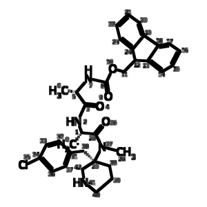 [CH2][C@H](NC(=O)[C@H](C)NC(=O)OCC1c2ccccc2-c2ccccc21)C(=O)N(C)[C@@]1(Cc2ccc(Cl)cc2)CCCNC1